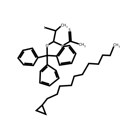 CC(=S)NC(OC(c1ccccc1)(c1ccccc1)c1ccccc1)C(C)I.CCCCCCCCCCCC1CC1